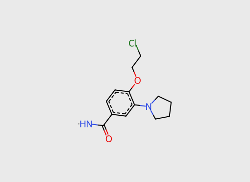 [NH]C(=O)c1ccc(OCCCl)c(N2CCCC2)c1